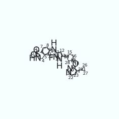 O=S1(=O)NCc2c1ccc(Nc1cc([C@H]3CC[C@@H](Oc4nnccc4C4CC4)C3)[nH]n1)c2F